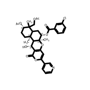 CC(=O)OCC1(C)C2C[C@H](OC(=O)c3cccc(Cl)c3)[C@@]3(C)Oc4cc(-c5cccnc5)oc(=O)c4[C@H](O)C3[C@@]2(C)CC[C@@H]1OC(C)=O